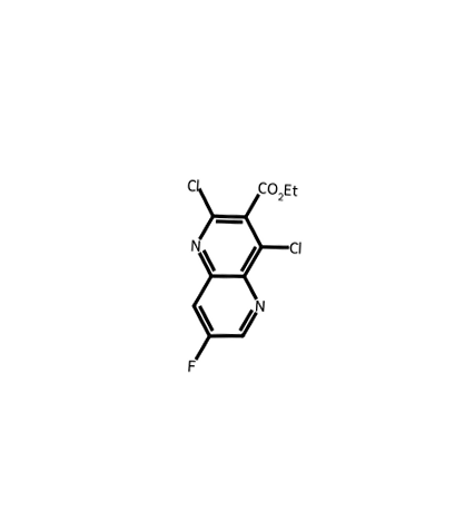 CCOC(=O)c1c(Cl)nc2cc(F)cnc2c1Cl